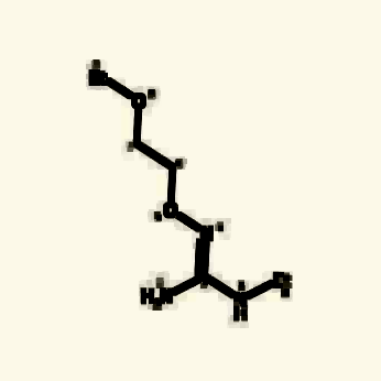 CCNC(N)=NOCCOCC